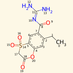 CCc1cc2c(cc1C(=O)N=C(N)N)S(=O)(=O)CC(=O)O2